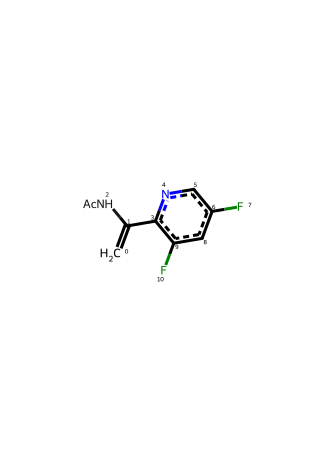 C=C(NC(C)=O)c1ncc(F)cc1F